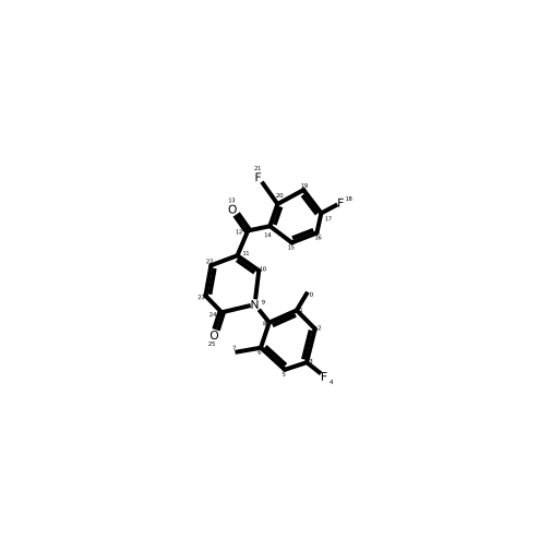 Cc1cc(F)cc(C)c1-n1cc(C(=O)c2ccc(F)cc2F)ccc1=O